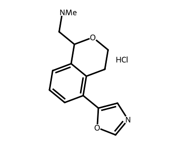 CNCC1OCCc2c(-c3cnco3)cccc21.Cl